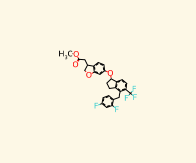 COC(=O)CC1COc2cc(O[C@@H]3CCc4c3ccc(C(F)(F)F)c4Cc3ccc(F)cc3F)ccc21